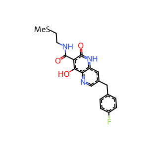 CSCCNC(=O)c1c(O)c2ncc(Cc3ccc(F)cc3)cc2[nH]c1=O